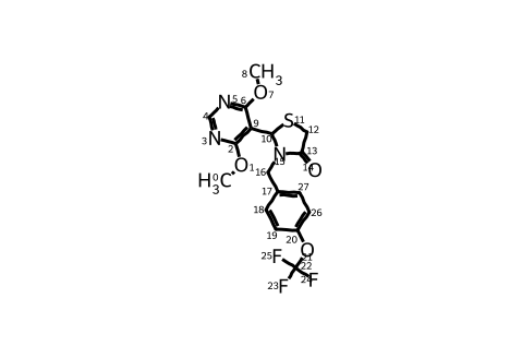 COc1ncnc(OC)c1C1SCC(=O)N1Cc1ccc(OC(F)(F)F)cc1